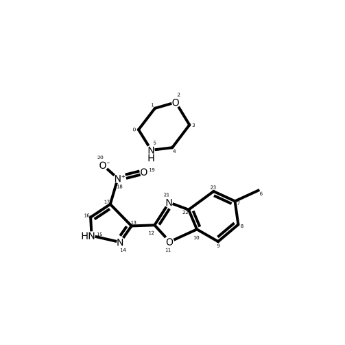 C1COCCN1.Cc1ccc2oc(-c3n[nH]cc3[N+](=O)[O-])nc2c1